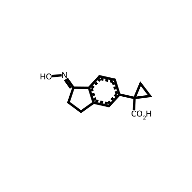 O=C(O)C1(c2ccc3c(c2)CC/C3=N\O)CC1